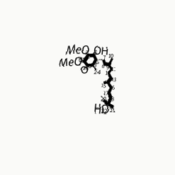 COC1=C(OC)[C@H](O)[C@H](C/C=C(\C)CC/C=C(\C)C/C=C/C(C)(C)O)[C@@H](C)C1=O